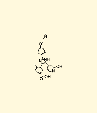 Cc1ccc(C(=O)O)cc1-c1nc(-c2ccc(OCCN(C)C)cc2)[nH]c1-c1ccnc(O)c1